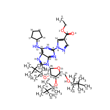 CCOC(=O)c1cnn(-c2nc(NC3CCCC3)c3ncn([C@@H]4O[C@H](CO[Si](C)(C)C(C)(C)C)[C@@H](O[Si](C)(C)C(C)(C)C)[C@@H]4O[Si](C)(C)C(C)(C)C)c3n2)c1